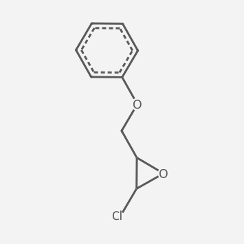 ClC1OC1COc1ccccc1